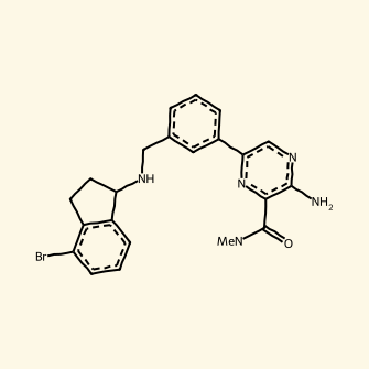 CNC(=O)c1nc(-c2cccc(CNC3CCc4c(Br)cccc43)c2)cnc1N